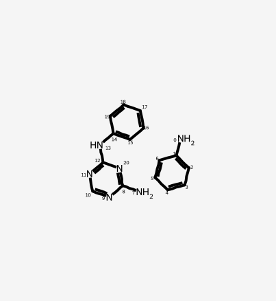 Nc1ccccc1.Nc1ncnc(Nc2ccccc2)n1